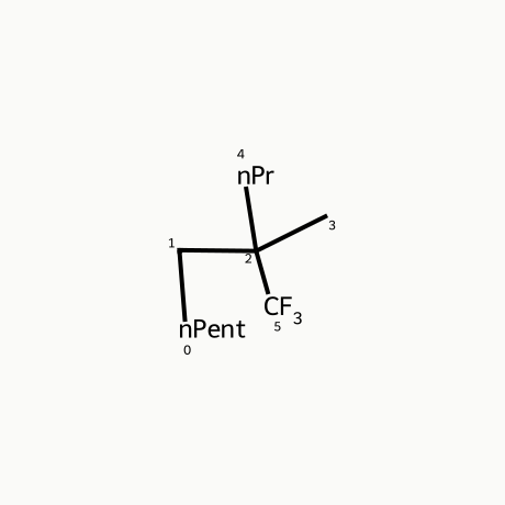 CCCCCCC(C)(CCC)C(F)(F)F